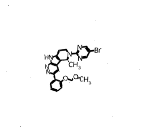 COCOc1ccccc1-c1cc2c3c([nH]c2nn1)CCN(c1ncc(Br)cn1)[C@@H]3C